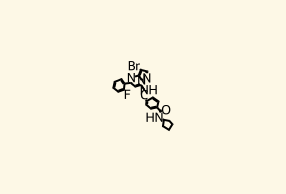 O=C(NC1CCCC1)c1ccc(CNc2cc(-c3ccccc3F)nc3c(Br)cnn23)cc1